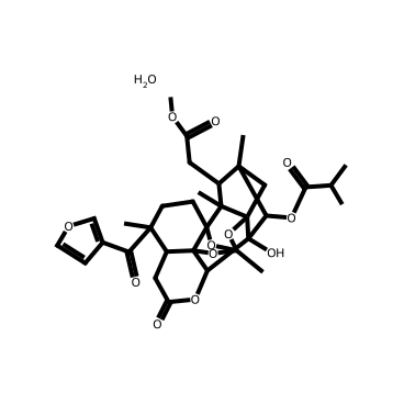 COC(=O)CC1C2(C)CC34OC5(C)OC67C(CC(=O)OC6C3(O)C2OC(=O)C(C)C)C(C)(C(=O)c2ccoc2)CCC7(O5)C14C.O